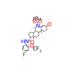 CC(C)(C)OC(=O)N1CC2C3CCC(C(=O)Nc4ccc(F)cc4OC(F)(F)F)[C@@]3(C)CCC2[C@@]2(C)CCC(=O)C=C12